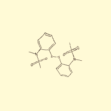 CN(c1ccccc1SSc1ccccc1N(C)S(C)(=O)=O)S(C)(=O)=O